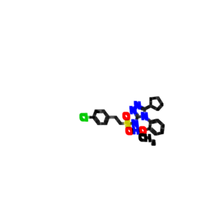 COc1ccccc1-n1c(NS(=O)(=O)CCc2ccc(Cl)cc2)nnc1C1CCCC1